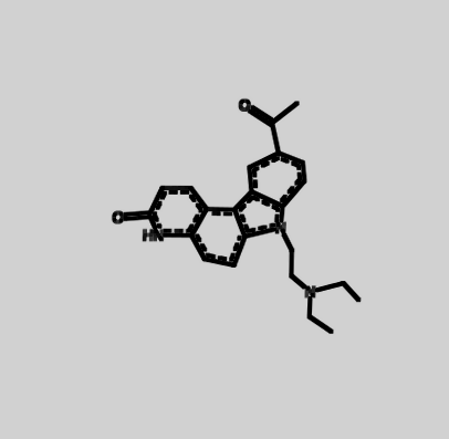 CCN(CC)CCn1c2ccc(C(C)=O)cc2c2c3ccc(=O)[nH]c3ccc21